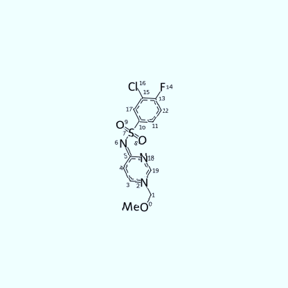 COCn1ccc(=NS(=O)(=O)c2ccc(F)c(Cl)c2)nc1